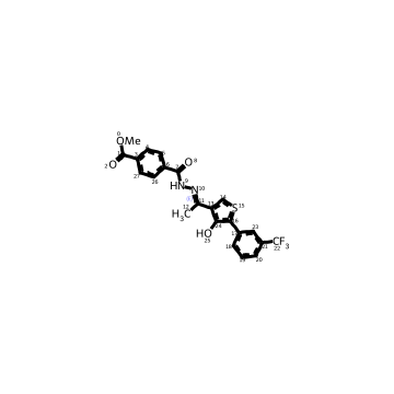 COC(=O)c1ccc(C(=O)N/N=C(\C)c2csc(-c3cccc(C(F)(F)F)c3)c2O)cc1